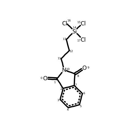 O=C1c2ccccc2C(=O)N1CCC[Si](Cl)(Cl)Cl